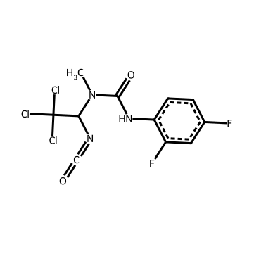 CN(C(=O)Nc1ccc(F)cc1F)C(N=C=O)C(Cl)(Cl)Cl